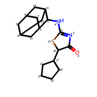 O=C1N=C(NC2C3CC4CC(C3)CC2C4)SC1C1CCCC1